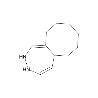 C1=CC2CCCCCCC2=CNN1